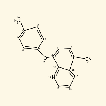 N#Cc1ccc(Oc2ccc(C(F)(F)F)cc2)c2ncccc12